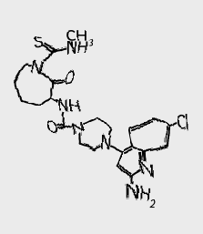 CNC(=S)N1CCCC[C@H](NC(=O)N2CCN(c3cc(N)nc4cc(Cl)ccc34)CC2)C1=O